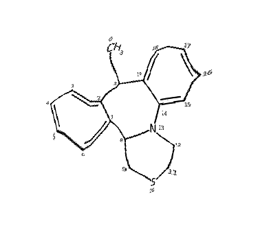 CC1c2ccccc2C2CSCCN2c2ccccc21